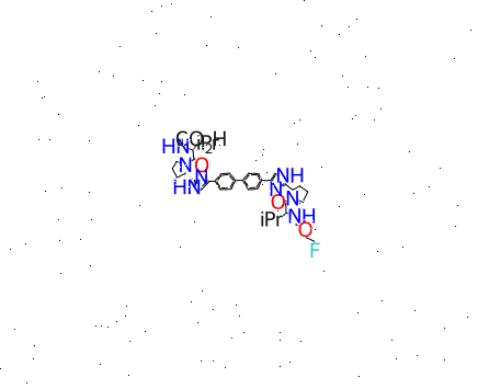 CC(C)[C@H](NCOCCF)C(=O)N1CCCC1c1nc(-c2ccc(-c3ccc(-c4c[nH]c([C@@H]5CCCN5C(=O)[C@@H](NC(=O)O)C(C)C)n4)cc3)cc2)c[nH]1